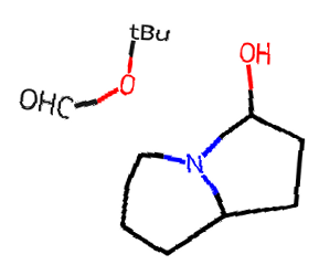 CC(C)(C)OC=O.OC1CCC2CCCN12